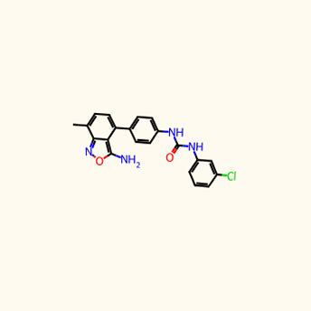 Cc1ccc(-c2ccc(NC(=O)Nc3cccc(Cl)c3)cc2)c2c(N)onc12